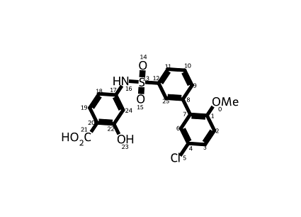 COc1ccc(Cl)cc1-c1cccc(S(=O)(=O)Nc2ccc(C(=O)O)c(O)c2)c1